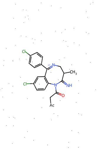 CC(=O)CC(=O)N1C(=N)C(C)C/N=C(/c2ccc(Cl)cc2)c2cc(Cl)ccc21